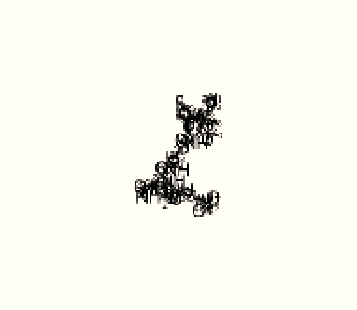 CCC(=O)N(CC[C@@H](CF)NC(=O)OCc1ccc(NC(=O)[C@H](CCCNC(N)=O)NC(=O)[C@@H](NC(=O)CCCCCN2C(=O)C=CC2=O)C(C)C)cc1)[C@@H](c1nc(-c2cc(F)ccc2F)cn1Cc1ccccc1)C(C)(C)C